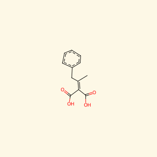 CC(Cc1ccccc1)=C(C(=O)O)C(=O)O